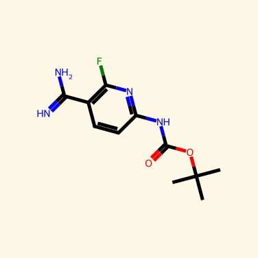 CC(C)(C)OC(=O)Nc1ccc(C(=N)N)c(F)n1